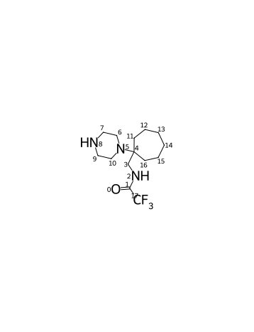 O=C(NCC1(N2CCNCC2)CCCCCC1)C(F)(F)F